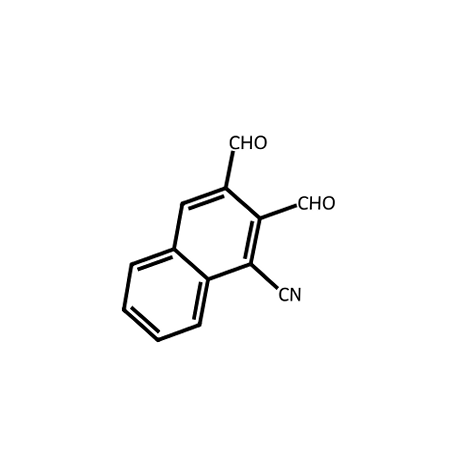 N#Cc1c(C=O)c(C=O)cc2ccccc12